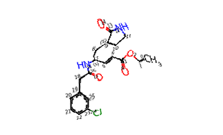 CCOC(=O)C=C[C@H](C[C@@H]1CCNC1=O)NC(=O)Cc1cccc(Cl)c1